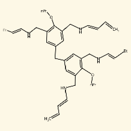 C=CC=CNCc1cc(Cc2cc(CNC=CC=C)c(OCCC)c(CNC=CCC)c2)cc(CNC=CCC)c1OCCC